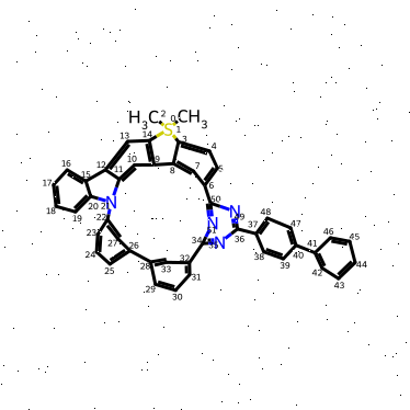 CS1(C)c2ccc3cc2-c2cc4c(cc21)c1ccccc1n4-c1cccc(c1)-c1cccc(c1)-c1nc(-c2ccc(-c4ccccc4)cc2)nc-3n1